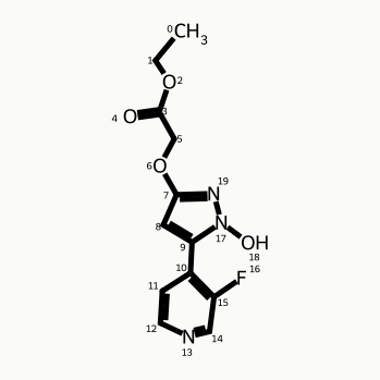 CCOC(=O)COc1cc(-c2ccncc2F)n(O)n1